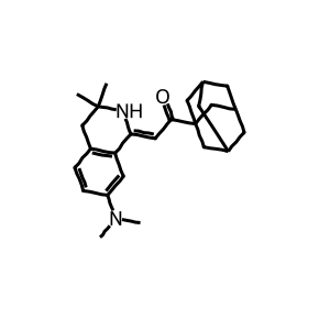 CN(C)c1ccc2c(c1)C(=CC(=O)C13CC4CC(CC(C4)C1)C3)NC(C)(C)C2